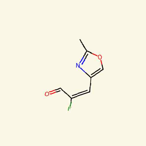 Cc1nc(/C=C(/F)C=O)co1